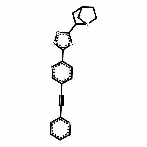 C(#Cc1ccccn1)c1ccc(-c2noc(C3CC4CCN3C4)n2)nc1